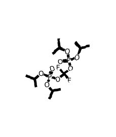 CC(C)OP(=O)(OC(C)C)OC(F)(F)OP(=O)(OC(C)C)OC(C)C